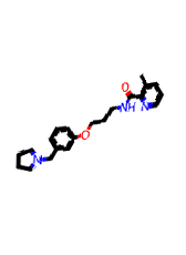 Cc1cccnc1C(=O)NCCCOc1cccc(CN2CCCC2)c1